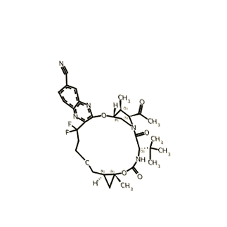 CC(=O)[C@@H]1[C@H](C)[C@@H]2CN1C(=O)[C@H](C(C)(C)C)NC(=O)O[C@]1(C)C[C@H]1CCCCC(F)(F)c1nc3ccc(C#N)cc3nc1O2